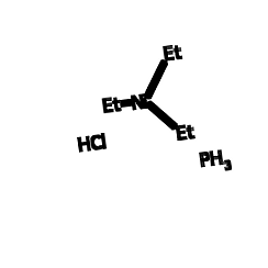 C[CH2][Ni]([CH2]C)[CH2]C.Cl.P